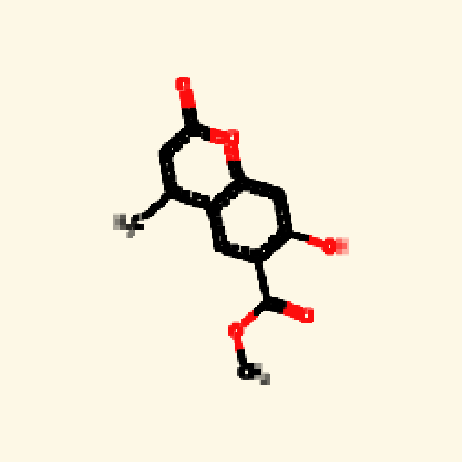 COC(=O)c1cc2c(C)cc(=O)oc2cc1O